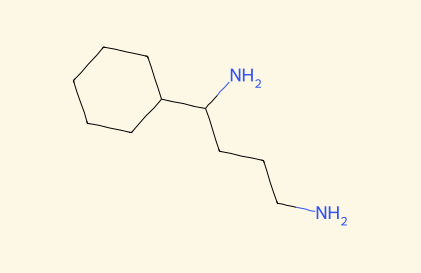 NCCCC(N)C1CCCCC1